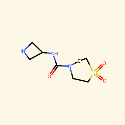 O=C(NC1CNC1)N1CCS(=O)(=O)CC1